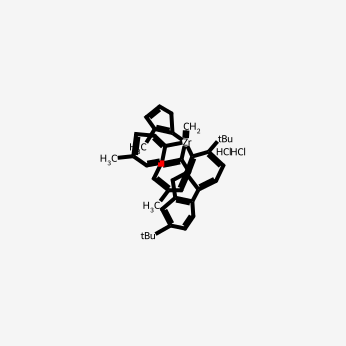 Cl.Cl.[CH2]=[Zr]([C]1=C(C)C=CC1)([c]1ccc(C)cc1)([c]1ccc(C)cc1)[c]1c(C(C)(C)C)ccc2c1Cc1cc(C(C)(C)C)ccc1-2